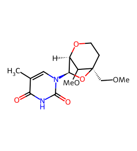 COC[C@@]12CCO[C@@H](C1OC)[C@H](n1cc(C)c(=O)[nH]c1=O)O2